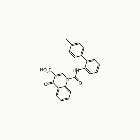 Cc1ccc(-c2ccccc2NC(=O)n2cc(C(=O)O)c(=O)c3ccccc32)cc1